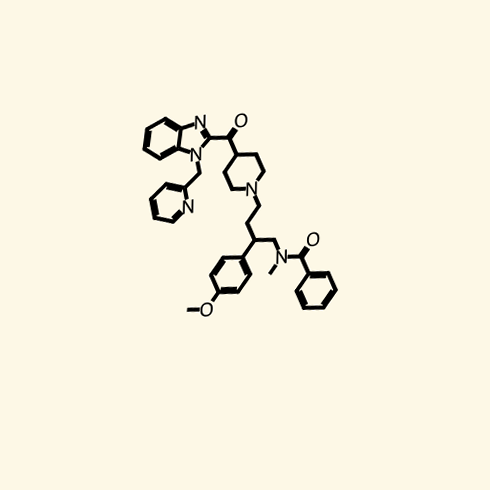 COc1ccc(C(CCN2CCC(C(=O)c3nc4ccccc4n3Cc3ccccn3)CC2)CN(C)C(=O)c2ccccc2)cc1